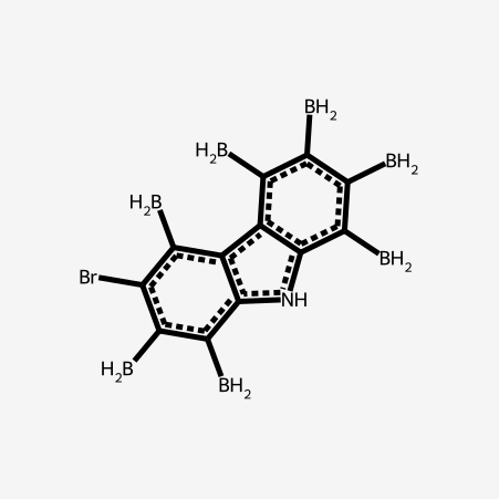 Bc1c(B)c(B)c2c([nH]c3c(B)c(B)c(Br)c(B)c32)c1B